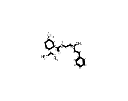 CC(C)[C@@H]1CC[C@@H](C)C[C@H]1C(=O)NCCN(C)CCc1ccccc1